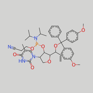 C=CC(OC(c1ccccc1)(c1ccc(OC)cc1)c1ccc(OC)cc1)C1OCC(n2cc(C)c(=O)[nH]c2=O)C1OP(OCCC#N)N(C(C)C)C(C)C